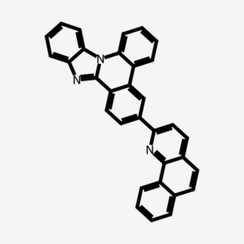 c1ccc2c(c1)ccc1ccc(-c3ccc4c(c3)c3ccccc3n3c5ccccc5nc43)nc12